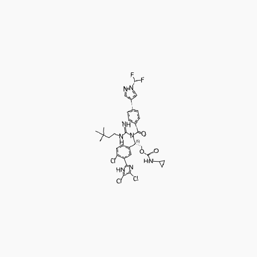 CC(C)(C)CCNC(=N)N(C(=O)c1ccc(-c2cnn(C(F)F)c2)cc1)[C@H](COC(=O)NC1CC1)c1ccc(Cl)c(-c2nc(Cl)c(Cl)[nH]2)c1